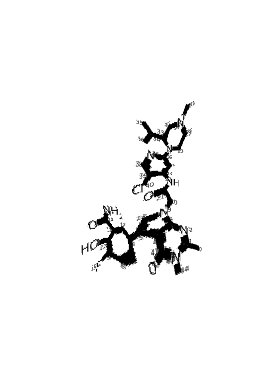 Cc1nc2c(c(C3C#CC(F)=C(O)C(C(N)=O)=C3)cn2CC(=O)Nc2cc(N3CCN(C)CC3C(C)C)ncc2Cl)c(=O)n1C